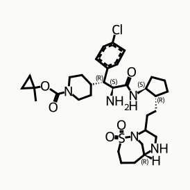 CC1(OC(=O)N2CCC([C@H](c3ccc(Cl)cc3)[C@H](N)C(=O)N[C@H]3CCC[C@@H]3CCC3CN[C@@H]4CCCS(=O)(=O)N3C4)CC2)CC1